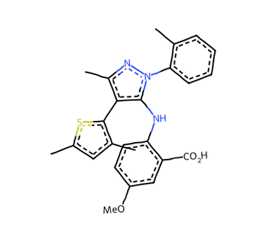 COc1ccc(Nc2c(-c3sc(C)cc3C)c(C)nn2-c2ccccc2C)c(C(=O)O)c1